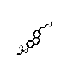 C=CC(=O)Oc1ccc2c(ccc3cc(CCCOC)ccc32)c1